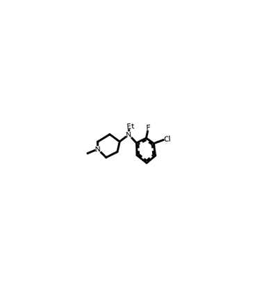 CCN(c1cccc(Cl)c1F)C1CCN(C)CC1